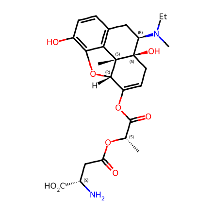 CCN(C)[C@@H]1Cc2ccc(O)c3c2[C@@]2(C)[C@@H](O3)C(OC(=O)[C@H](C)OC(=O)C[C@H](N)C(=O)O)=CC[C@@]12O